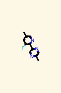 Cc1cnc(-c2cnc(C)cn2)c(F)c1